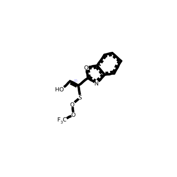 O/C=C(\SOOC(F)(F)F)c1nc2ccccc2o1